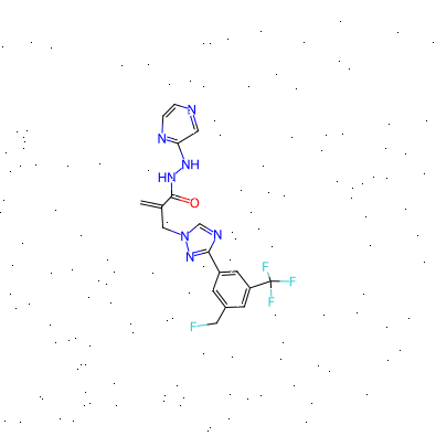 C=C(Cn1cnc(-c2cc(CF)cc(C(F)(F)F)c2)n1)C(=O)NNc1cnccn1